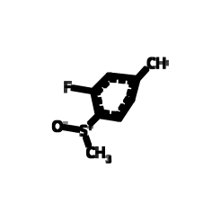 [CH]c1ccc([S+](C)[O-])c(F)c1